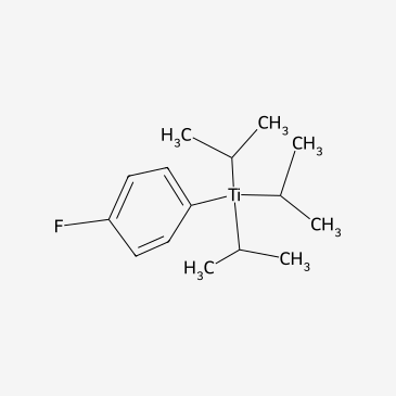 C[CH](C)[Ti]([c]1ccc(F)cc1)([CH](C)C)[CH](C)C